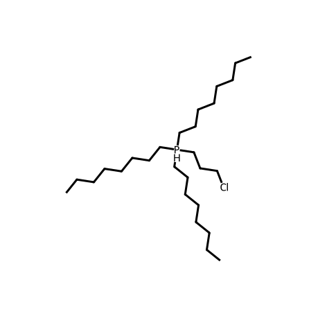 CCCCCCCC[PH](CCCCl)(CCCCCCCC)CCCCCCCC